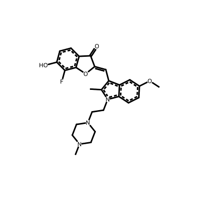 COc1ccc2c(c1)c(C=C1Oc3c(ccc(O)c3F)C1=O)c(C)n2CCN1CCN(C)CC1